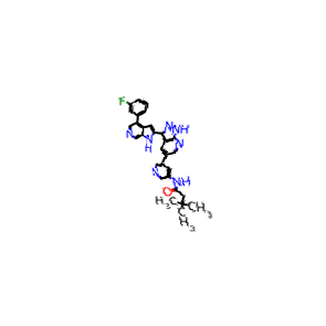 CC(C)(C)CC(=O)Nc1cncc(-c2cnc3[nH]nc(-c4cc5c(-c6cccc(F)c6)cncc5[nH]4)c3c2)c1